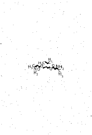 C/C(N)=C/C(=O)OCCCCOC(=O)/C=C(/C)N.[CH2]CC[CH2]